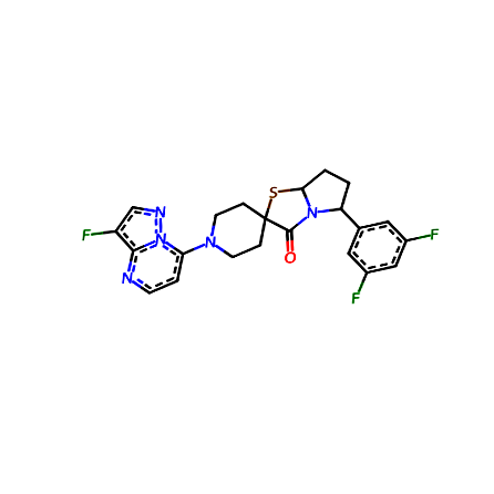 O=C1N2C(CCC2c2cc(F)cc(F)c2)SC12CCN(c1ccnc3c(F)cnn13)CC2